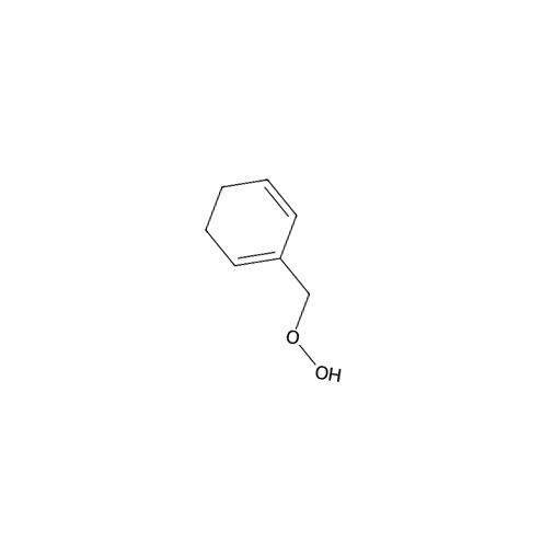 OOCC1=CCCC=C1